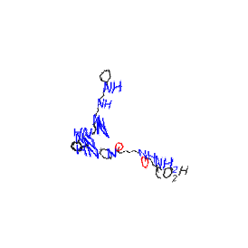 N[C@H](CCC(=O)NCCCCCC(=O)N1CCC(Nc2nc(NCc3cn(CCCNCCCNC4CCCCC4)nn3)nc3ccccc23)CC1)C(=O)O